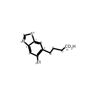 CCc1cc2ncsc2cc1CCCC(=O)O